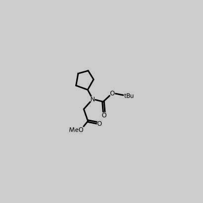 COC(=O)CN(C(=O)OC(C)(C)C)C1CCCC1